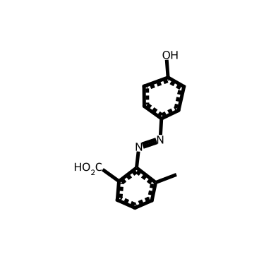 Cc1cccc(C(=O)O)c1N=Nc1ccc(O)cc1